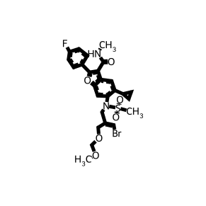 CNC(=O)c1c(-c2ccc(F)cc2)oc2cc(N(CC(=CBr)COCOC)S(C)(=O)=O)c(C3CC3)cc12